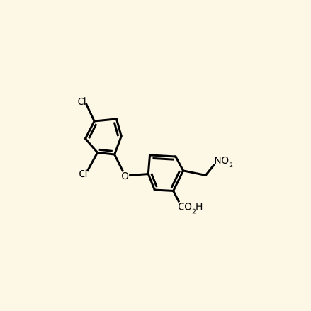 O=C(O)c1cc(Oc2ccc(Cl)cc2Cl)ccc1C[N+](=O)[O-]